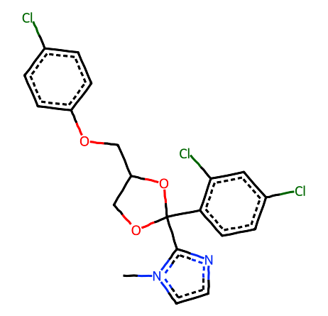 Cn1ccnc1C1(c2ccc(Cl)cc2Cl)OCC(COc2ccc(Cl)cc2)O1